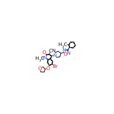 Cc1ccccc1-c1noc(C2CCN(c3c(C#N)c(=O)n(C)c4cc(OC5CCOC5)c(Br)cc34)CC2)n1